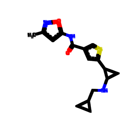 Cc1cc(NC(=O)c2csc(C3CC3NCC3CC3)c2)on1